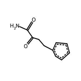 NC(=O)C(=O)CCc1ccccc1